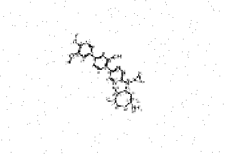 COc1ncc(-c2ccc(-c3cnc(N(C4CC4)[C@H]4C[C@@](C)(N)CCC(C)[C@H]4F)nn3)c(O)c2)nc1OC